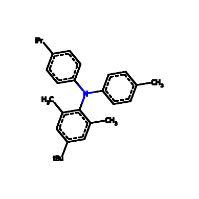 Cc1ccc(N(c2ccc(C(C)C)cc2)c2c(C)cc(C(C)(C)C)cc2C)cc1